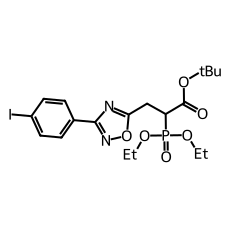 CCOP(=O)(OCC)C(Cc1nc(-c2ccc(I)cc2)no1)C(=O)OC(C)(C)C